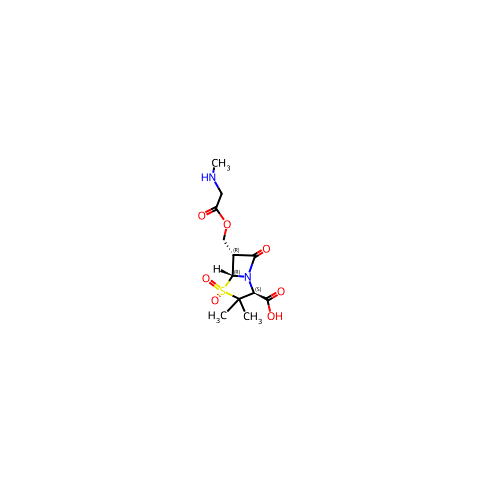 CNCC(=O)OC[C@@H]1C(=O)N2[C@@H](C(=O)O)C(C)(C)S(=O)(=O)[C@H]12